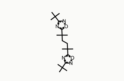 CC(C)(C)c1noc(C(C)(C)CCC(C)(C)c2nc(C(C)(C)C)no2)n1